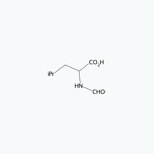 CC(C)CC(N[C]=O)C(=O)O